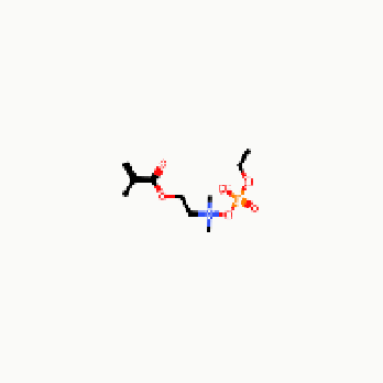 C=C(C)C(=O)OCC[N+](C)(C)OP(=O)([O-])OCC